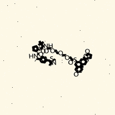 Cc1ncsc1-c1ccc([C@H](C)NC(=O)[C@@H]2CCCN2C(=O)C(NC(=O)COCCOCCOCC(=O)S[C@@H]2CC3=CC(=O)CCC3(C)C3CCC(C)([C@@]4(C)CCC(=O)O4)CC32)C(C)(C)C)cc1